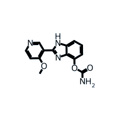 COc1ccncc1-c1nc2c(OC(N)=O)cccc2[nH]1